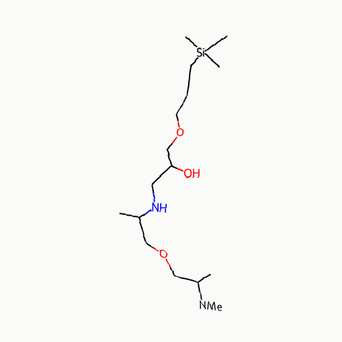 CNC(C)COCC(C)NCC(O)COCCC[Si](C)(C)C